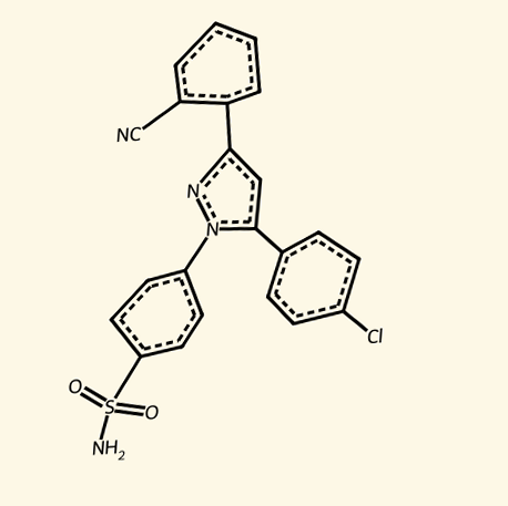 N#Cc1ccccc1-c1cc(-c2ccc(Cl)cc2)n(-c2ccc(S(N)(=O)=O)cc2)n1